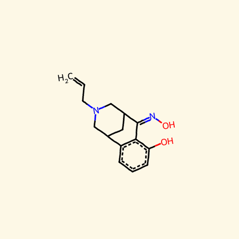 C=CCN1CC2CC(C1)c1cccc(O)c1/C2=N\O